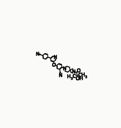 CC(C)(O)C(=O)N1CC2(CCN(c3ccc(Oc4cncc(-c5ccc(C#N)cc5)c4)cc3C#N)CC2)C1